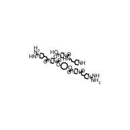 N=C(N)N1CCC(CC(=O)N2CCN(C(=O)O[C@H]3CCC[C@@H](OC(=O)N4CCN(C(=O)CC5CCN(C(=N)N)CC5)CC4)CCC3)CC2)CC1.O=C(O)N1CCN(C(=O)NCCC2CCNCC2)CC1